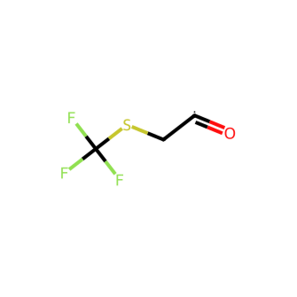 O=[C]CSC(F)(F)F